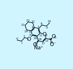 CCCOc1c2c(c(CCC)c3oc(C(=O)[O-])cc(=O)c13)CCCC2.[Na+]